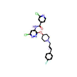 O=C(Nc1cc(Cl)nnc1OC1CCN(C/C=C/c2ccc(F)cc2)CC1)c1ccnc(Cl)c1